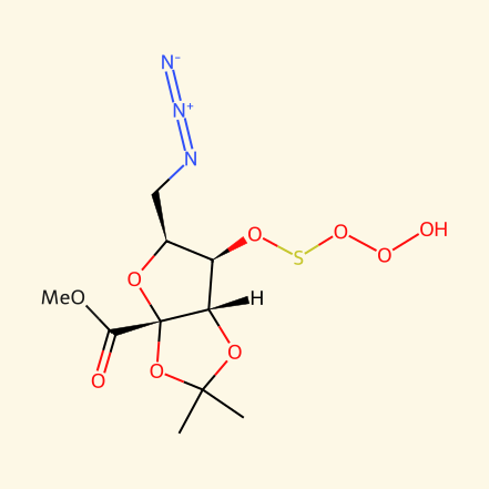 COC(=O)[C@@]12O[C@@H](CN=[N+]=[N-])[C@@H](OSOOO)[C@@H]1OC(C)(C)O2